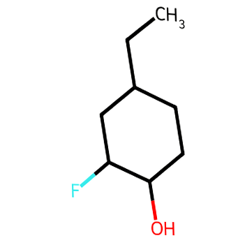 CCC1CCC(O)C(F)C1